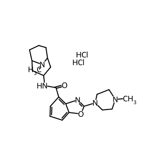 CN1CCN(c2nc3c(C(=O)NC4CC5CCCC(C4)N5C)cccc3o2)CC1.Cl.Cl